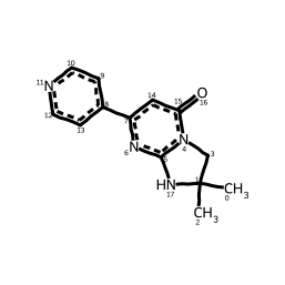 CC1(C)Cn2c(nc(-c3ccncc3)cc2=O)N1